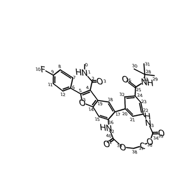 CNC(=O)c1c(-c2ccc(F)cc2)oc2cc3c(cc12)-c1cc(cc(C(=O)NC(C)(C)C)c1)NC(=O)OCCOC(=O)N3